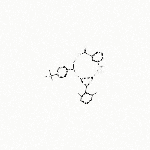 Cc1cccc(C)c1-c1cc2nc(n1)NS(=O)(=O)c1cccc(c1)C(=O)NCCC(c1ccc(C(C)(C)C)cc1)O2